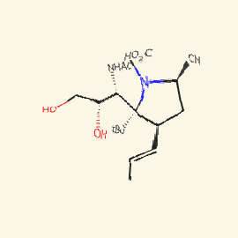 CC=C[C@@H]1C[C@H](C#N)N(C(=O)O)[C@@]1([C@@H](NC(C)=O)[C@H](O)CO)C(C)(C)C